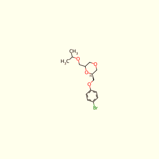 CC(C)OCC1COC[C@@H](COc2ccc(Br)cc2)O1